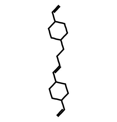 C=CC1CCC(/C=C/CCC2CCC(C=C)CC2)CC1